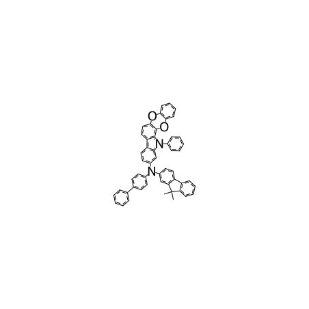 CC1(C)c2ccccc2-c2ccc(N(c3ccc(-c4ccccc4)cc3)c3ccc4c5ccc6c(c5n(-c5ccccc5)c4c3)Oc3ccccc3O6)cc21